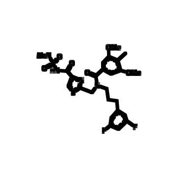 CNS(=O)(=O)NC(=O)c1csc(CN(CCCc2cc(F)cc(F)c2)C(=O)c2cc(OC)c(C)c(OC)c2)n1